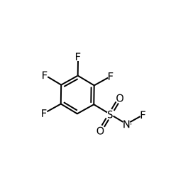 O=S(=O)([N]F)c1cc(F)c(F)c(F)c1F